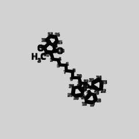 CC1=C(CCCCCCCCCC[PH](c2ccccc2)(c2ccccc2)c2ccccc2)C(=O)c2ccccc2C1=O